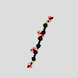 C=CC(=O)OCCSc1ccc(C#Cc2ccc(OCc3ccc(C#Cc4ccc(COc5ccc(C#Cc6ccc(SCCOC(=O)C=C)cc6)cc5C(=O)OC)cc4)cc3)c(C(=O)OC)c2)cc1